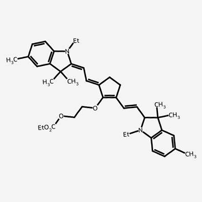 CCOC(=O)OCCOC1=C(/C=C/C2N(CC)c3ccc(C)cc3C2(C)C)CC/C1=C\C=C1\N(CC)c2ccc(C)cc2C1(C)C